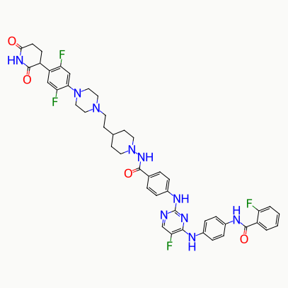 O=C1CCC(c2cc(F)c(N3CCN(CCC4CCN(NC(=O)c5ccc(Nc6ncc(F)c(Nc7ccc(NC(=O)c8ccccc8F)cc7)n6)cc5)CC4)CC3)cc2F)C(=O)N1